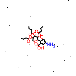 CCCC(=O)O[C@H]1[C@H](OC(=O)CCC)C(C2C(=O)C=C(N)C=C2C(=O)O)OC[C@H]1OC(=O)CCC